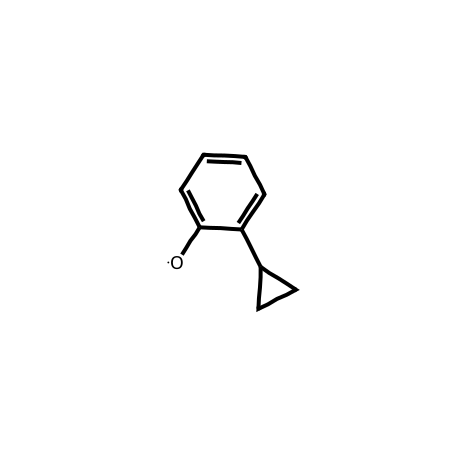 [O]c1ccccc1C1CC1